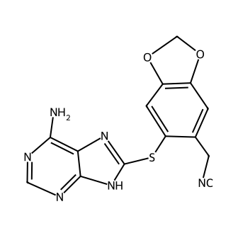 [C-]#[N+]Cc1cc2c(cc1Sc1nc3c(N)ncnc3[nH]1)OCO2